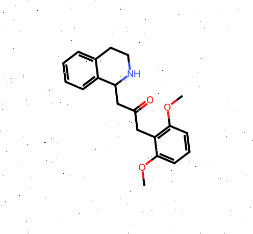 COc1cccc(OC)c1CC(=O)CC1NCCc2ccccc21